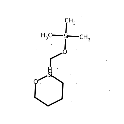 C[Si](C)(C)OC[SiH]1CCCCO1